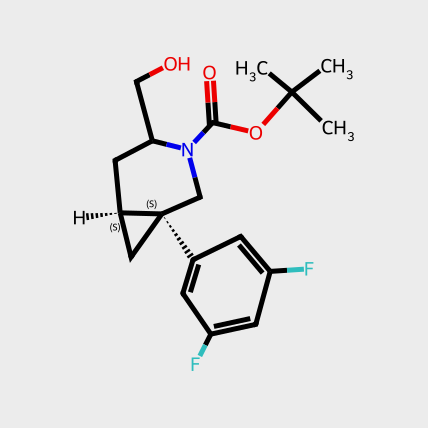 CC(C)(C)OC(=O)N1C[C@@]2(c3cc(F)cc(F)c3)C[C@H]2CC1CO